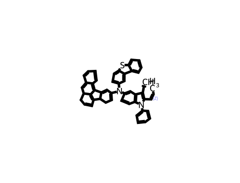 C#Cc1c(/C=C\C)n(-c2ccccc2)c2ccc(N(C3=CCC4C(=C3)C3=c5ccccc5=CC5CC=CC4=C35)c3ccc4sc5ccccc5c4c3)cc12